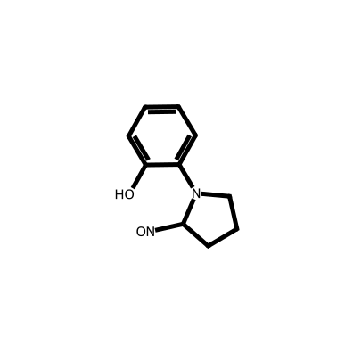 O=NC1CCCN1c1ccccc1O